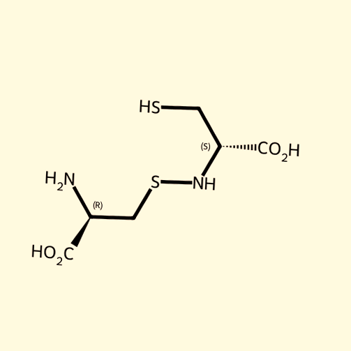 N[C@@H](CSN[C@H](CS)C(=O)O)C(=O)O